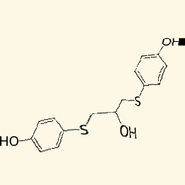 Oc1ccc(SCC(O)CSc2ccc(O)cc2)cc1